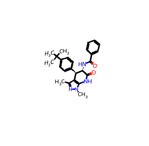 Cc1nn(C)c2c1[C@@H](c1ccc(C(C)(C)C)cc1)[C@H](NC(=O)c1ccccc1)C(=O)N2